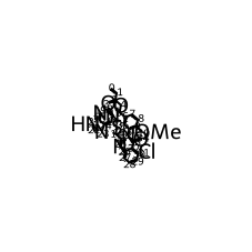 C=CC(=O)OCc1ccc(OC)c(-n2c(CSc3ncnc4[nH]cnc34)nc3cccc(Cl)c3c2=O)c1